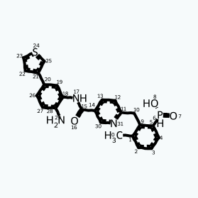 Cc1cccc([PH](=O)O)c1Cc1ccc(C(=O)Nc2cc(-c3ccsc3)ccc2N)cn1